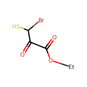 CCOC(=O)C(=O)C(S)Br